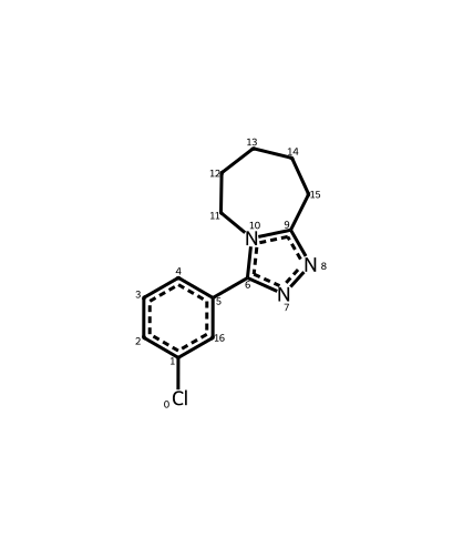 Clc1cccc(-c2nnc3n2CCCCC3)c1